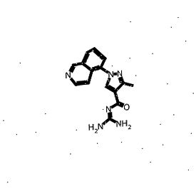 Cc1nn(-c2cccc3cnccc23)cc1C(=O)N=C(N)N